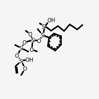 C=C[Si](O)(OC)O[Si](C)(C)O[Si](OC)(OC)O[Si](C)(c1ccccc1)[Si](C)(O)CCCCCC